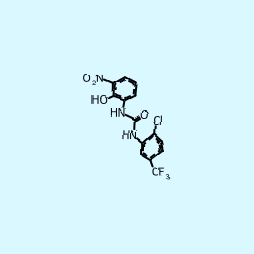 O=C(Nc1cc(C(F)(F)F)ccc1Cl)Nc1cccc([N+](=O)[O-])c1O